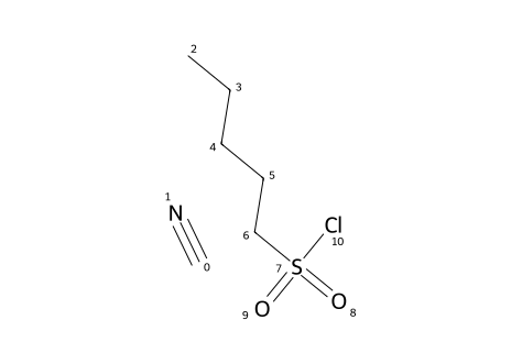 C#N.CCCCCS(=O)(=O)Cl